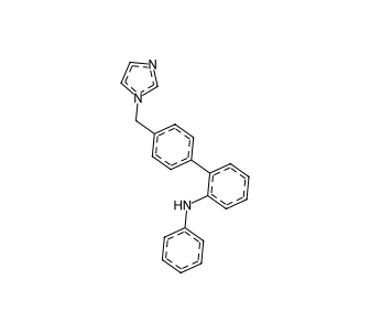 c1ccc(Nc2ccccc2-c2ccc(Cn3ccnc3)cc2)cc1